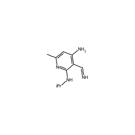 Cc1cc(N)c(C=N)c(NC(C)C)n1